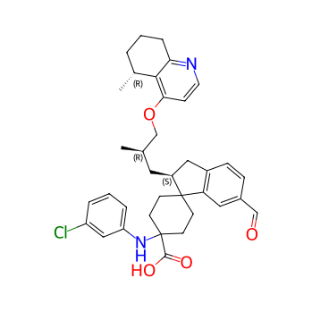 C[C@@H](COc1ccnc2c1[C@H](C)CCC2)C[C@H]1Cc2ccc(C=O)cc2C12CCC(Nc1cccc(Cl)c1)(C(=O)O)CC2